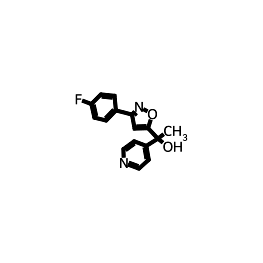 CC(O)(c1ccncc1)c1cc(-c2ccc(F)cc2)no1